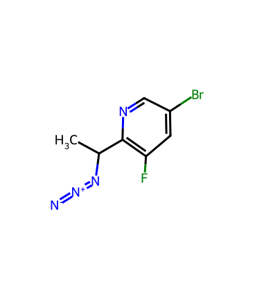 CC(N=[N+]=[N-])c1ncc(Br)cc1F